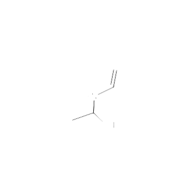 CCC(C)N[C]=S